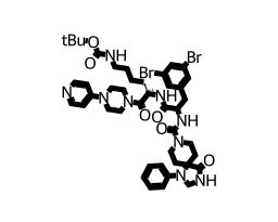 CC(C)(C)OC(=O)NCCCC[C@H](NC(=O)C(Cc1cc(Br)cc(Br)c1)NC(=O)N1CCC2(CC1)C(=O)NCN2c1ccccc1)C(=O)N1CCN(c2ccncc2)CC1